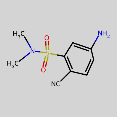 CN(C)S(=O)(=O)c1cc(N)ccc1C#N